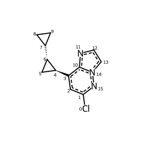 Clc1cc([C@H]2C[C@@H]2C2CC2)c2nccn2n1